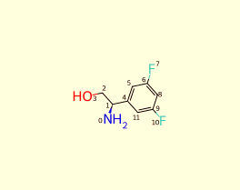 N[C@@H](CO)c1cc(F)cc(F)c1